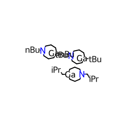 CC(C)(C)N1CC[CH2][Ga]([C](C)(C)C)[CH2]CC1.CC(C)CN1CC[CH2][Ga]([CH2]C(C)C)[CH2]CC1.CCCCN1CC[CH2][Ga]([CH2]CCC)[CH2]CC1